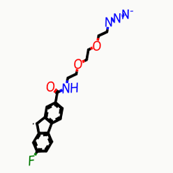 [N-]=[N+]=NCCOCCOCCNC(=O)c1ccc2c(c1)[CH]c1cc(F)ccc1-2